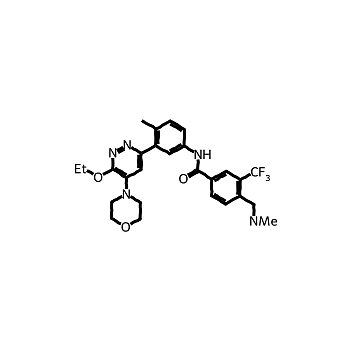 CCOc1nnc(-c2cc(NC(=O)c3ccc(CNC)c(C(F)(F)F)c3)ccc2C)cc1N1CCOCC1